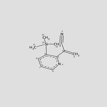 C=C(C#N)c1ncccc1[Si](C)(C)C